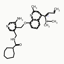 C=C/C=C(/c1cc(C)nc2c(OCc3c(N)cncc3CNC(=O)C3CCCCCC3)cccc12)N(C)C